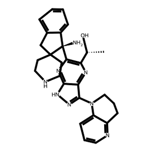 C[C@@H](O)c1nc2c(N3CCCc4ncccc43)n[nH]c2nc1[C@@]1(N)c2ccccc2CC12CCNCC2